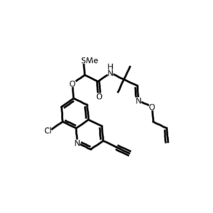 C#Cc1cnc2c(Cl)cc(OC(SC)C(=O)NC(C)(C)C=NOCC=C)cc2c1